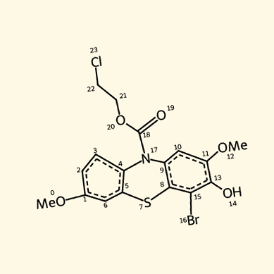 COc1ccc2c(c1)Sc1c(cc(OC)c(O)c1Br)N2C(=O)OCCCl